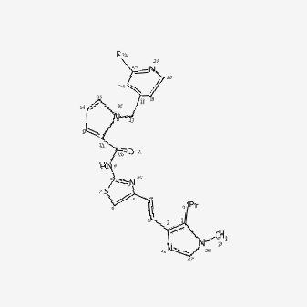 CC(C)c1c(C=Cc2csc(NC(=O)c3cccn3Cc3ccnc(F)c3)n2)ncn1C